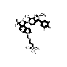 CC1c2nn(C)c(-c3cc(F)c(F)c(F)c3)c2CCN1C(=O)c1c(C(F)(F)F)cnc2c1ccn2COCC[Si](C)(C)C